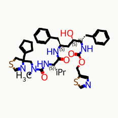 CC(C)[C@H](NC(=O)N(C)CC1(C2=CCCC2)CSC=N1)C(=O)N[C@@H](Cc1ccccc1)C[C@H](O)[C@H](Cc1ccccc1)NC(=O)OCc1cncs1